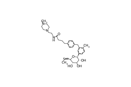 CS#CC1O[C@@H](c2ccc(C)c(Cc3ccc(CCCC(=O)NCCN4CCN(C)CC4)cc3)c2)[C@H](O)[C@@H](O)[C@@H]1O